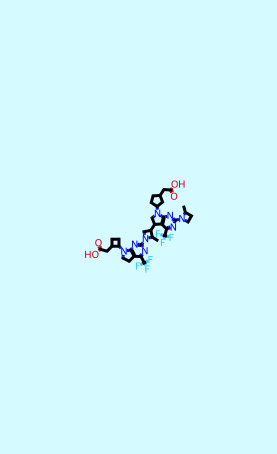 CC1CCN1c1nc2c(c(C(F)(F)F)n1)C(C1CN(c3nc4c(c(C(F)(F)F)n3)CCN4C3CCC3CC(=O)O)C1C)CN2C1CCC(CC(=O)O)C1